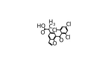 CC(C(=O)O)c1cc(C(=O)c2c(Cl)cc(Cl)cc2Cl)c2occc2c1